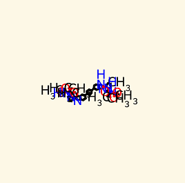 COC(=O)N[C@H](C(=O)N1CCC[C@H]1C1=Nc2ccc(-c3ccc(-c4ccc5[nH]c([C@@H]6C[C@H](C)CN6C(=O)[C@@H](NC(=O)OC)C(C)C)nc5c4)cc3)cc2C1C)C(C)C